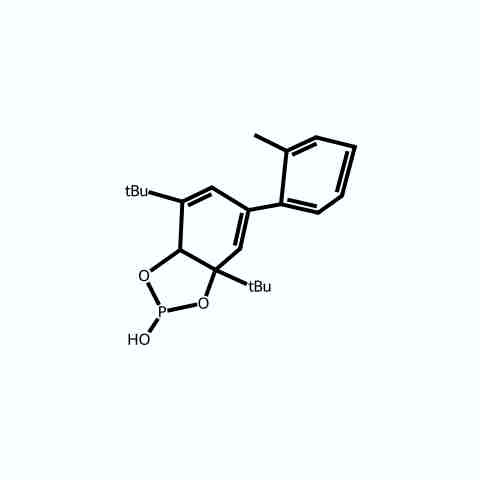 Cc1ccccc1C1=CC2(C(C)(C)C)OP(O)OC2C(C(C)(C)C)=C1